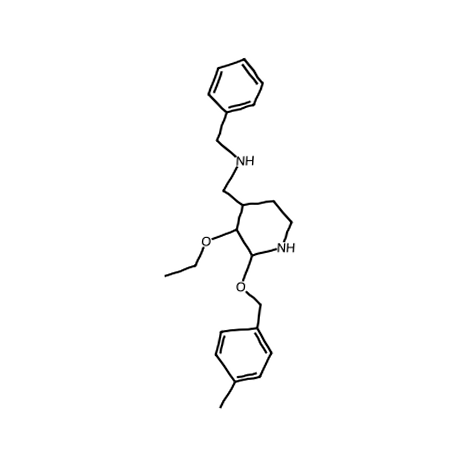 CCOC1C(CNCc2ccccc2)CCNC1OCc1ccc(C)cc1